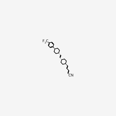 N#CC=CC=C[C@H]1CC[C@H](/C=C/[C@H]2CC[C@H](c3ccc(C(F)(F)F)cc3)CC2)CC1